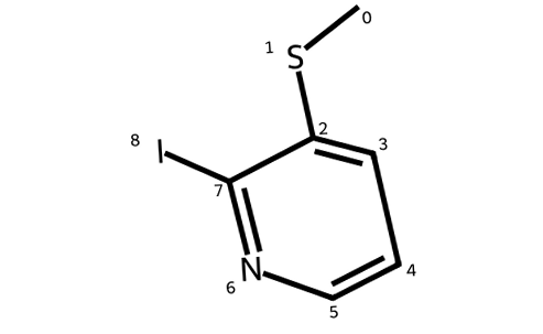 CSc1cccnc1I